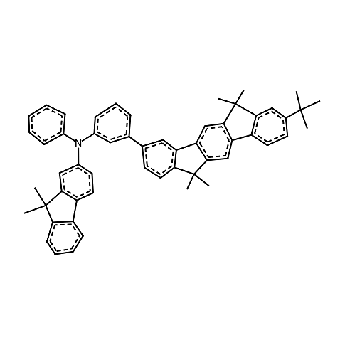 CC(C)(C)c1ccc2c(c1)C(C)(C)c1cc3c(cc1-2)C(C)(C)c1ccc(-c2cccc(N(c4ccccc4)c4ccc5c(c4)C(C)(C)c4ccccc4-5)c2)cc1-3